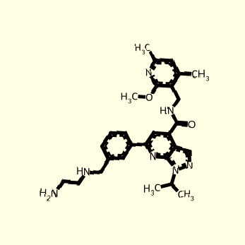 COc1nc(C)cc(C)c1CNC(=O)c1cc(-c2cccc(CNCCN)c2)nc2c1cnn2C(C)C